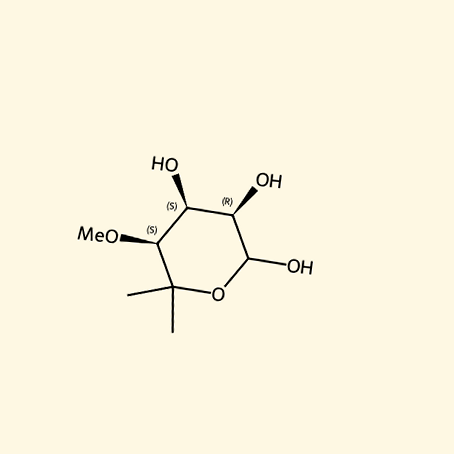 CO[C@H]1[C@@H](O)[C@@H](O)C(O)OC1(C)C